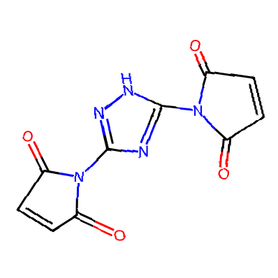 O=C1C=CC(=O)N1c1n[nH]c(N2C(=O)C=CC2=O)n1